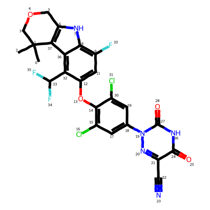 CC1(C)COCc2[nH]c3c(F)cc(Oc4c(Cl)cc(-n5nc(C#N)c(=O)[nH]c5=O)cc4Cl)c(C(F)F)c3c21